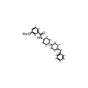 COc1cccc(C(=O)N[C@H]2CC[C@@H](N3CCN(Cc4ccccc4)CC3)CC2)c1